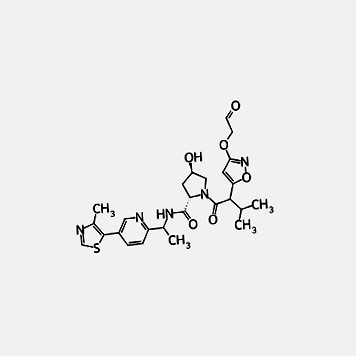 Cc1ncsc1-c1ccc(C(C)NC(=O)[C@@H]2C[C@@H](O)CN2C(=O)C(c2cc(OCC=O)no2)C(C)C)nc1